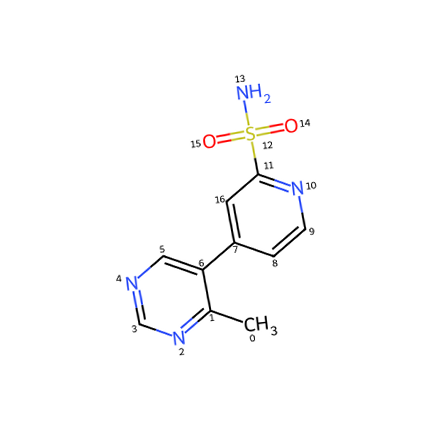 Cc1ncncc1-c1ccnc(S(N)(=O)=O)c1